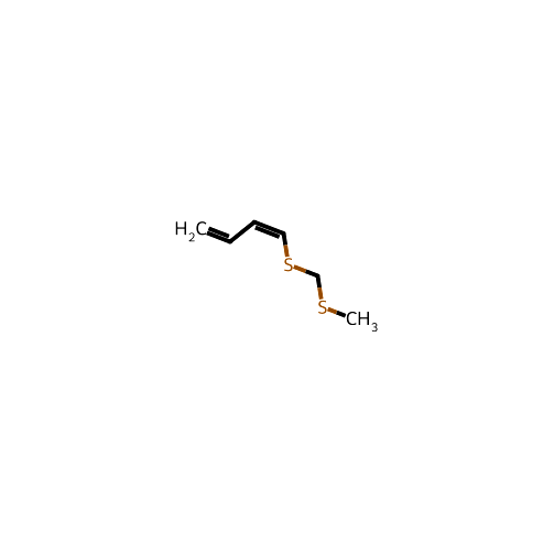 C=C/C=C\SCSC